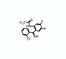 CC(=S)Nc1cc(F)c(F)cc1C(=N)c1ccccc1Cl